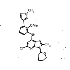 COc1c(Nc2cc(Cl)nc3c2nc(C)n3C2CCCCO2)cccc1-c1ncn(C)n1